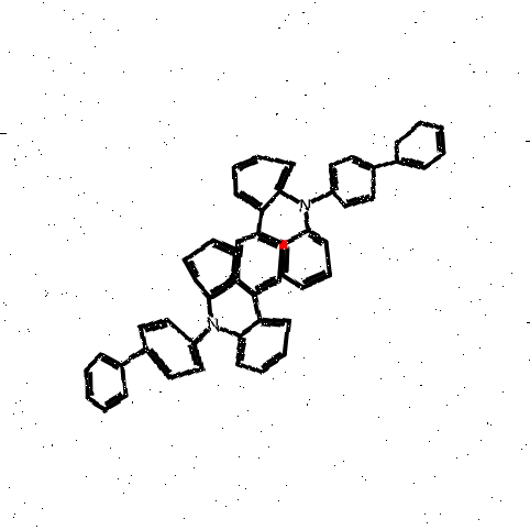 C1=CCCC(c2ccc(N(c3ccccc3)c3ccccc3-c3ccc(-c4ccccc4N(c4ccccc4)c4ccc(-c5ccccc5)cc4)cc3)cc2)=C1